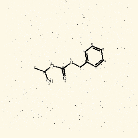 CC(O)OC(=O)OCc1ccccc1